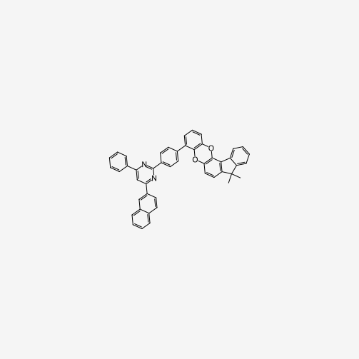 CC1(C)c2ccccc2-c2c1ccc1c2Oc2cccc(-c3ccc(-c4nc(-c5ccccc5)cc(-c5ccc6ccccc6c5)n4)cc3)c2O1